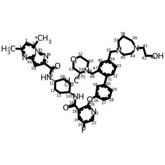 Cc1cc(C)n2nc(C(=O)N[C@H]3CC[C@H](NC(=O)c4cc(F)cnc4Oc4cccc(-c5ccc(CN6CCCN(CCO)CC6)cc5CN5CCOC[C@@H]5C)c4)CC3)cc2n1